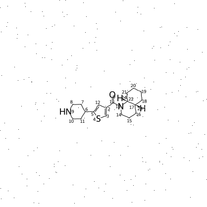 O=C(c1csc(C2CCNCC2)c1)N1CCC[C@H]2CCCC[C@H]21